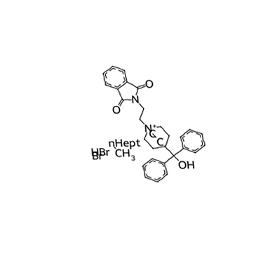 Br.CCCCCCCC.O=C1c2ccccc2C(=O)N1CC[N+]12CCC(C(O)(c3ccccc3)c3ccccc3)(CC1)CC2.[Br-]